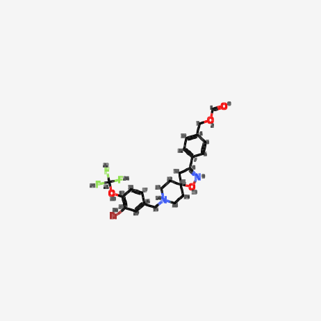 O=COCc1ccc(C2=NOC3(CCN(Cc4ccc(OC(F)(F)F)c(Br)c4)CC3)C2)cc1